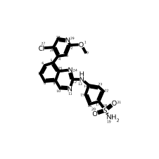 COc1cc(-c2cccc3cnc(Nc4ccc(S(N)(=O)=O)cc4)nc23)c(Cl)cn1